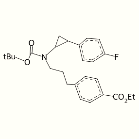 CCOC(=O)c1ccc(CCCN(C(=O)OC(C)(C)C)C2CC2c2ccc(F)cc2)cc1